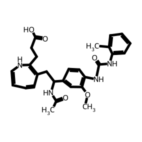 COc1cc(C(CC2=C(CCC(=O)O)NC=CC=C2)NC(C)=O)ccc1NC(=O)Nc1ccccc1C